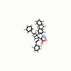 [O-]c1on[n+]2c1C1(/C=C/c3ccccc3)CCC1(/C=C/c1ccccc1)c1cc3c(cc1-2)Cc1ccccc1-3